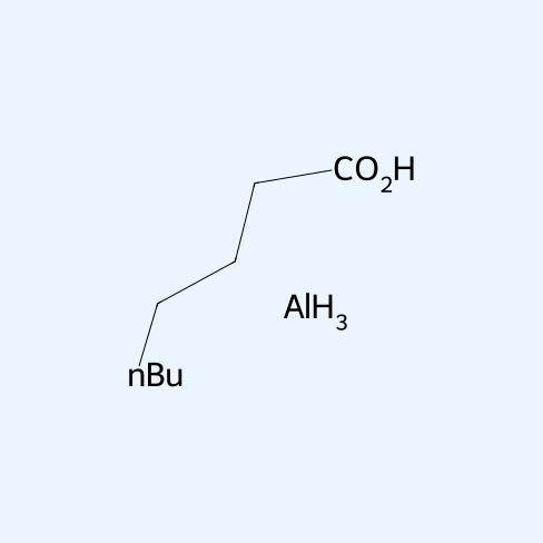 CCCCCCCC(=O)O.[AlH3]